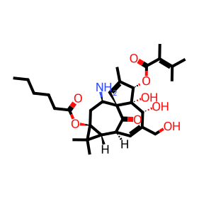 CCCCCC(=O)O[C@@]12C[C@@H](N)[C@]34C=C(C)[C@H](OC(=O)C(C)=C(C)C)[C@@]3(O)[C@H](O)C(CO)=C[C@H](C4=O)[C@@H]1C2(C)C